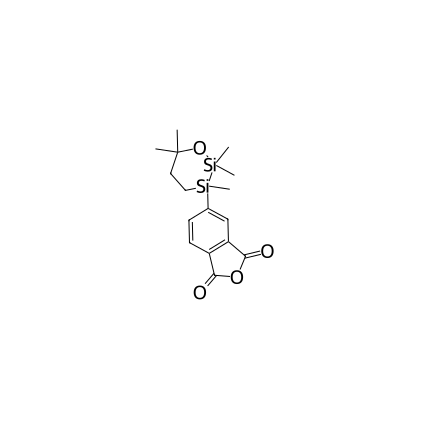 CC1(C)CC[Si](C)(c2ccc3c(c2)C(=O)OC3=O)[Si](C)(C)O1